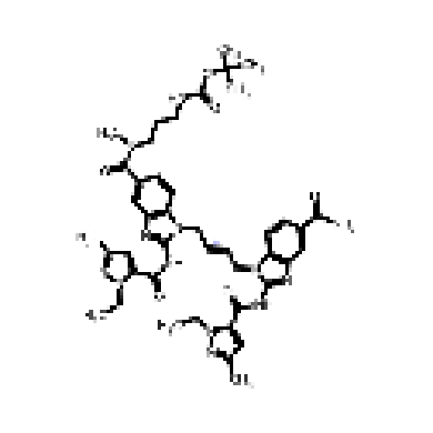 CCn1nc(C)cc1C(=O)Nc1nc2cc(C(N)=O)ccc2n1C/C=C/Cn1c(NC(=O)c2cc(C)nn2CC)nc2cc(C(=O)N(C)CCCNC(=O)OC(C)(C)C)ccc21